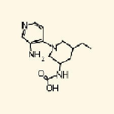 CCC1CC(NC(=O)O)CN(c2ccncc2N)C1